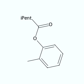 CCCC(C)C(=O)Oc1ccccc1C